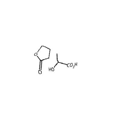 CC(O)C(=O)O.O=C1CCCO1